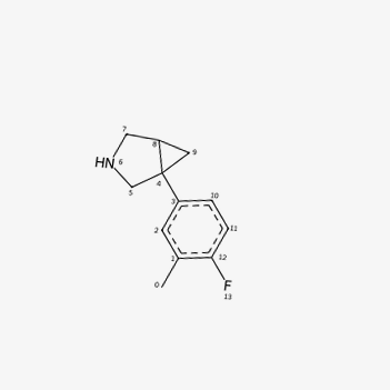 Cc1cc(C23CNCC2C3)ccc1F